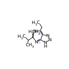 C=C(/N=C1/NN=N/C1=C(/N)CC)C(C)C